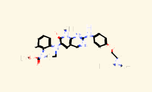 Cc1cccc2c1N(C(=O)OC(C)(C)C)CCN2c1cc2cnc(Nc3ccc(OCCN(C)C)cc3)nc2n(C)c1=O